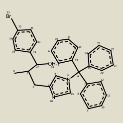 CC(Cc1cn(C(c2ccccc2)(c2ccccc2)c2ccccc2)cn1)C(O)c1ccc(Br)cc1